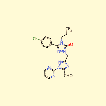 O=Cc1nc(Cn2nc(-c3ccc(Cl)cc3)n(CCC(F)(F)F)c2=O)nn1-c1ncccn1